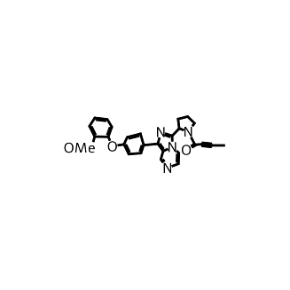 CC#CC(=O)N1CCCC1c1nc(-c2ccc(Oc3ccccc3OC)cc2)c2cnccn12